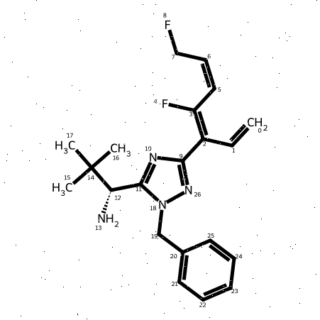 C=C/C(=C(F)\C=C/CF)c1nc([C@H](N)C(C)(C)C)n(Cc2ccccc2)n1